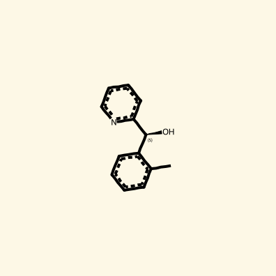 Cc1ccccc1[C@H](O)c1ccccn1